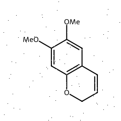 COc1cc2c(cc1OC)OCC=C2